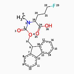 CN(C(=O)OCC1c2ccccc2-c2ccccc21)C(CCCF)C(=O)O